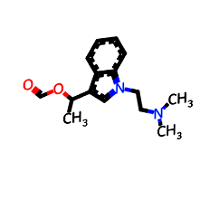 CC(OC=O)c1cn(CCN(C)C)c2ccccc12